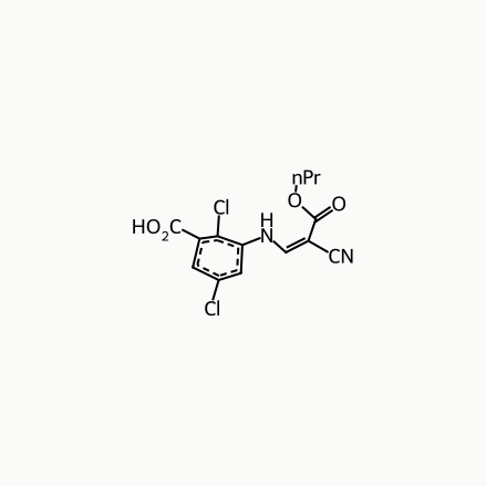 CCCOC(=O)C(C#N)=CNc1cc(Cl)cc(C(=O)O)c1Cl